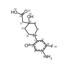 Nc1cc(Cl)c(N2CCC(O)(CC(=O)O)CC2)cc1F